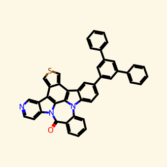 O=c1c2ccccc2n2c3ccc(-c4cc(-c5ccccc5)cc(-c5ccccc5)c4)cc3c3c4cscc4c4c5cnccc5n1c4c32